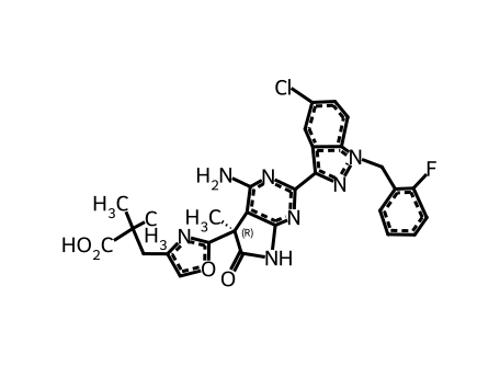 CC(C)(Cc1coc([C@]2(C)C(=O)Nc3nc(-c4nn(Cc5ccccc5F)c5ccc(Cl)cc45)nc(N)c32)n1)C(=O)O